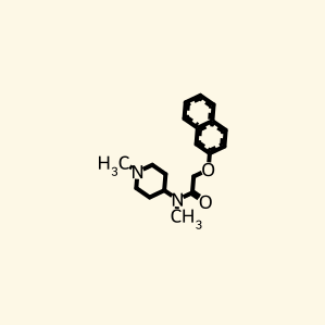 CN1CCC(N(C)C(=O)COc2ccc3ccccc3c2)CC1